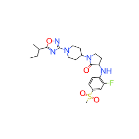 CCC(C)c1nc(N2CCC(N3CCC(Nc4ccc(S(C)(=O)=O)cc4F)C3=O)CC2)no1